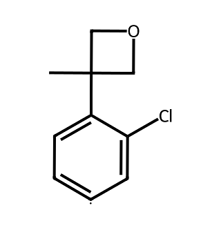 CC1(c2cc[c]cc2Cl)COC1